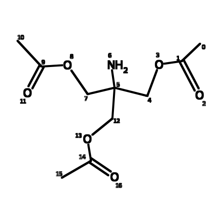 CC(=O)OCC(N)(COC(C)=O)COC(C)=O